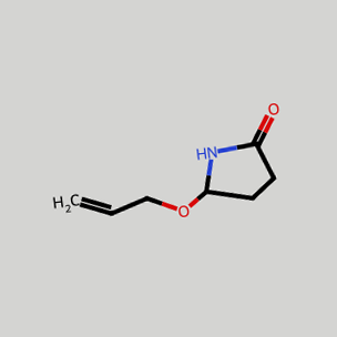 C=CCOC1CCC(=O)N1